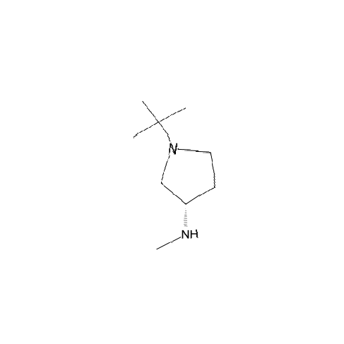 CN[C@H]1CCN(C(C)(C)C)C1